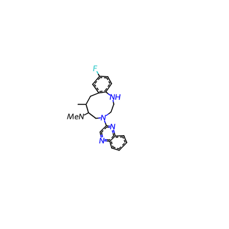 CNC1CN(c2cnc3ccccc3n2)CCNc2ccc(F)cc2CC1C